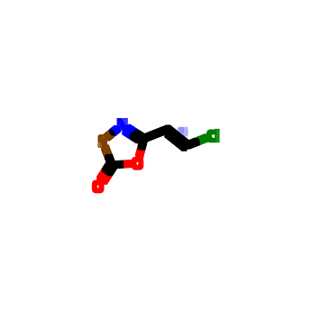 O=c1oc(/C=C/Cl)ns1